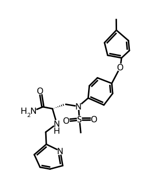 Cc1ccc(Oc2ccc(N(C[C@H](NCc3ccccn3)C(N)=O)S(C)(=O)=O)cc2)cc1